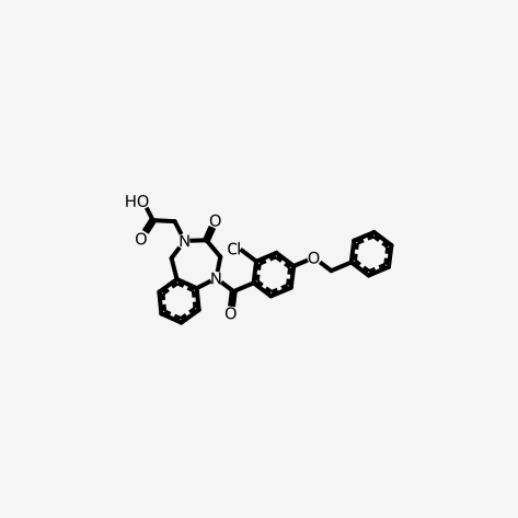 O=C(O)CN1Cc2ccccc2N(C(=O)c2ccc(OCc3ccccc3)cc2Cl)CC1=O